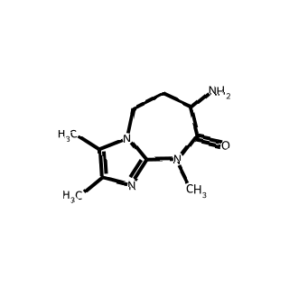 Cc1nc2n(c1C)CCC(N)C(=O)N2C